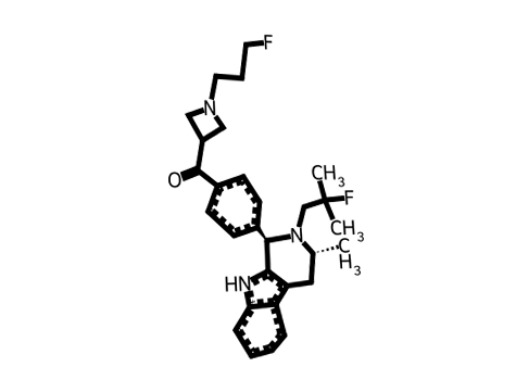 C[C@@H]1Cc2c([nH]c3ccccc23)[C@@H](c2ccc(C(=O)C3CN(CCCF)C3)cc2)N1CC(C)(C)F